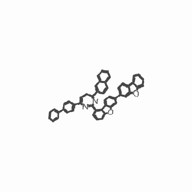 C1=C(c2ccc(-c3ccccc3)cc2)N=C(c2cccc3oc4cc(-c5ccc6c(c5)oc5ccccc56)ccc4c23)N=C(c2ccc3ccccc3c2)C1